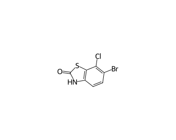 O=c1[nH]c2ccc(Br)c(Cl)c2s1